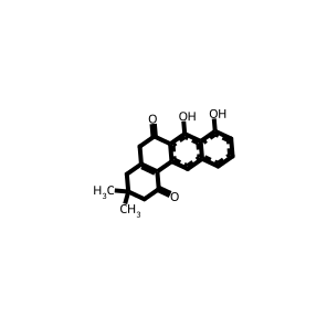 CC1(C)CC(=O)C2=C(CC(=O)c3c2cc2cccc(O)c2c3O)C1